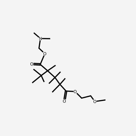 COCCOC(=O)C(C)(C)C(C)(C)C(C)(C(=O)OCN(C)C)C(C)(C)C